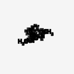 Cn1cnc(S(=O)(=O)Nc2ccnc3c2c(-c2cccc(N4CCCC4)c2)cn3C)c1